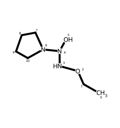 CCONN(O)N1CCCC1